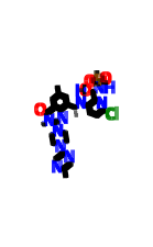 Cc1cc([C@@H](C)Nc2ccc(Cl)nc2C(=O)NS(C)(=O)=O)c2nc(N3CCN(c4cnc(C)cn4)CC3)n(C)c(=O)c2c1